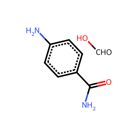 NC(=O)c1ccc(N)cc1.O=CO